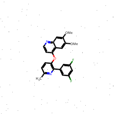 COc1cc2nccc(Oc3ccc(C)nc3-c3cc(F)cc(F)c3)c2cc1OC